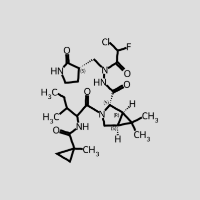 CCC(C)C(NC(=O)C1(C)CC1)C(=O)N1C[C@H]2[C@@H]([C@H]1C(=O)NN(C[C@@H]1CCNC1=O)C(=O)C(F)Cl)C2(C)C